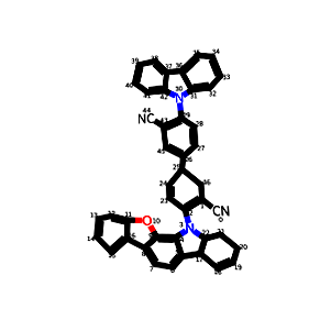 N#CC1=C(N2c3c(ccc4c3oc3ccccc34)C3C=CCCC32)C=CC(c2ccc(-n3c4ccccc4c4ccccc43)c(C#N)c2)C1